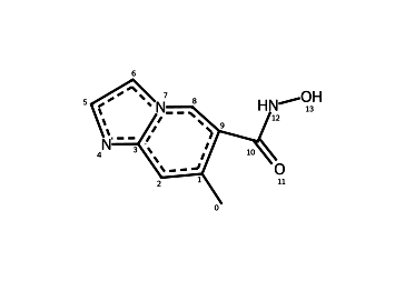 Cc1cc2nccn2cc1C(=O)NO